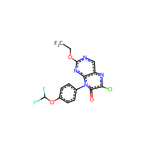 O=c1c(Cl)nc2cnc(OCC(F)(F)F)nc2n1-c1ccc(OC(F)F)cc1